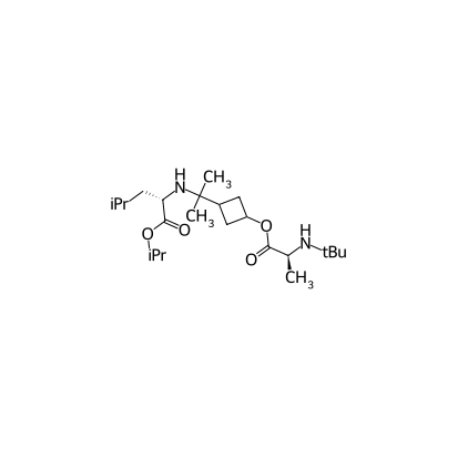 CC(C)C[C@H](NC(C)(C)C1CC(OC(=O)[C@H](C)NC(C)(C)C)C1)C(=O)OC(C)C